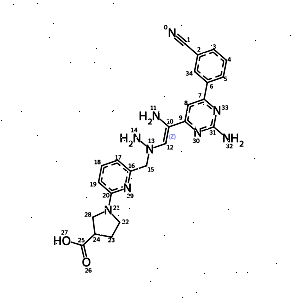 N#Cc1cccc(-c2cc(/C(N)=C/N(N)Cc3cccc(N4CCC(C(=O)O)C4)n3)nc(N)n2)c1